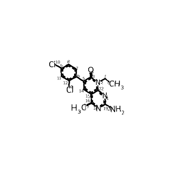 CCn1c(=O)c(-c2ccc(Cl)cc2Cl)cc2c(C)nc(N)nc21